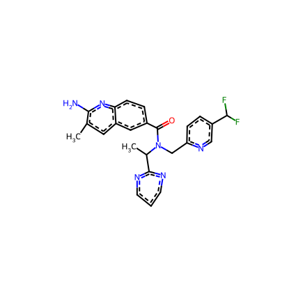 Cc1cc2cc(C(=O)N(Cc3ccc(C(F)F)cn3)C(C)c3ncccn3)ccc2nc1N